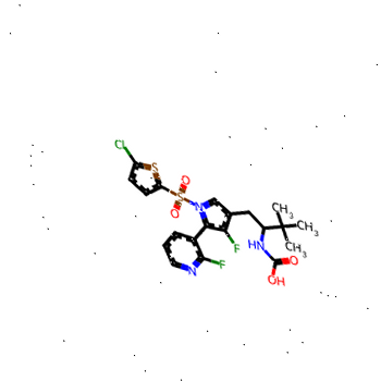 CC(C)(C)C(Cc1cn(S(=O)(=O)c2ccc(Cl)s2)c(-c2cccnc2F)c1F)NC(=O)O